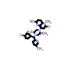 Cc1ccc(C(c2ccc(Cl)cc2)N2C[C@H](C)N(c3cc(=O)n(C)c4ccc(C#N)nc34)C[C@H]2C)nc1